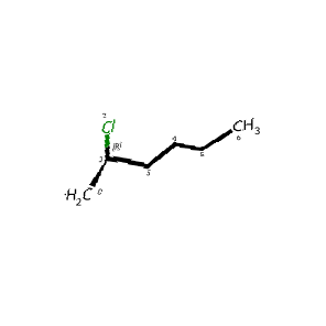 [CH2][C@@H](Cl)CCCC